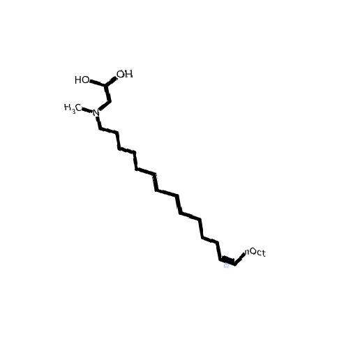 CCCCCCCC/C=C\CCCCCCCCCCCCN(C)CC(O)O